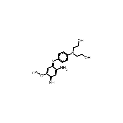 CCCOC1=C/C(=N/c2ccc(N(CCO)CCO)cc2)C(N)=CC1=N